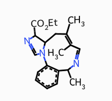 CCOC(=O)C1N=CN2c3ccccc3C(C)/N=C\C(C)=C(/C)CC12